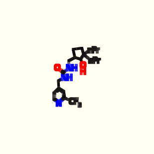 CCCC1(CCC)CCC(CNC(=O)NCc2ccnc(C(F)(F)F)c2)C1O